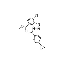 COC(=O)c1ccc(Cl)c2nnn(C(C)c3ccc(C4CC4)cc3)c12